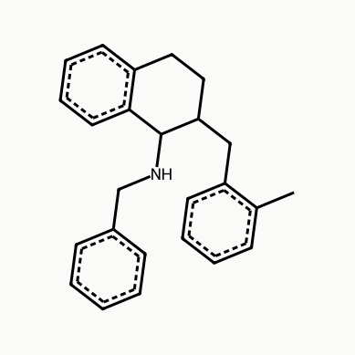 Cc1ccccc1CC1CCc2ccccc2C1NCc1ccccc1